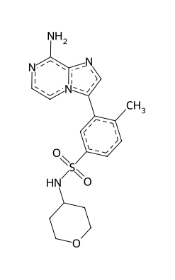 Cc1ccc(S(=O)(=O)NC2CCOCC2)cc1-c1cnc2c(N)nccn12